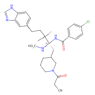 CC(C)(CCc1ccc2[nH]cnc2c1)[C@](CC1CCCN(C(=O)CC#N)C1)(NC(=O)O)NC(=O)c1ccc(Cl)cc1